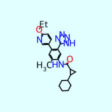 CCOc1ccc(-c2cc(C)c(NC(=O)C3CC3C3CCCCC3)cc2-c2nnn[nH]2)cn1